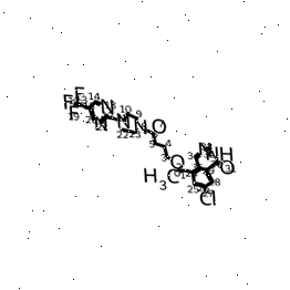 CC(OCCCC(=O)N1CCN(c2ncc(C(F)(F)F)cn2)CC1)c1cc(Cl)cc2c(=O)[nH]ncc12